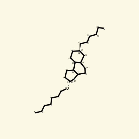 CCCCCCCO[C@@H]1CCC2C(CCC3C[C@H](CCCCCC)CCC32)C1